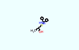 C=CCC(CCO)CCCSc1nc(-c2ccccc2)c(-c2ccccc2)[nH]1